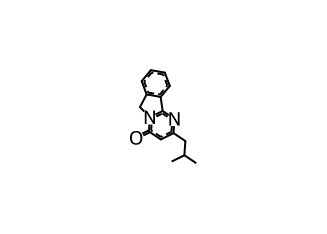 CC(C)Cc1cc(=O)n2c(n1)-c1ccccc1C2